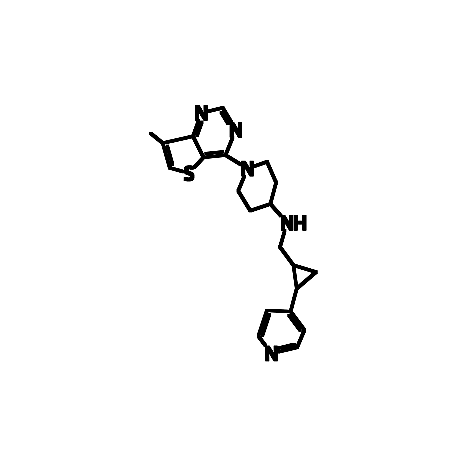 Cc1csc2c(N3CCC(NCC4CC4c4ccncc4)CC3)ncnc12